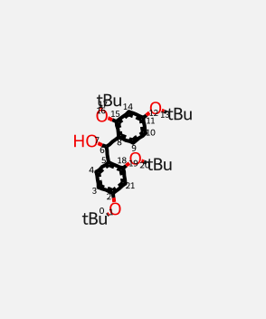 CC(C)(C)Oc1ccc(C(O)c2ccc(OC(C)(C)C)cc2OC(C)(C)C)c(OC(C)(C)C)c1